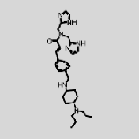 CCCN(CCC)[C@H]1CC[C@H](NCc2ccc(/C=C/C(=O)N(Cc3ncc[nH]3)Cc3ncc[nH]3)cc2)CC1